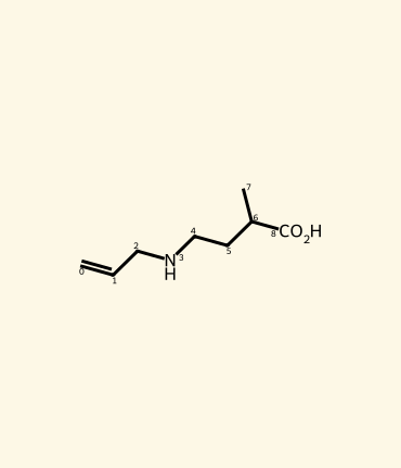 C=CCNCCC(C)C(=O)O